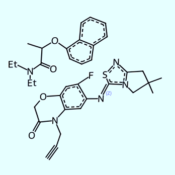 C#CCN1C(=O)COc2cc(F)c(/N=c3\snc4n3CC(C)(C)C4)cc21.CCN(CC)C(=O)C(C)Oc1cccc2ccccc12